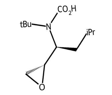 CC(C)C[C@@H]([C@H]1CO1)N(C(=O)O)C(C)(C)C